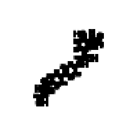 CS(=O)(=O)Nc1cc([C@@H](O)CNC2CCN(c3ccc(S(=O)(=O)NCCO)cc3)CC2)ccc1O